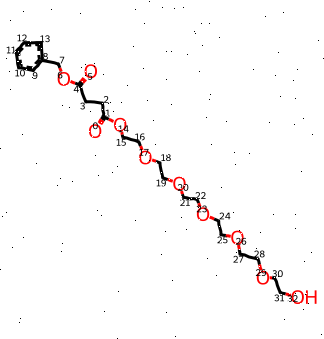 O=C(CCC(=O)OCc1ccccc1)OCCOCCOCCOCCOCCOCCO